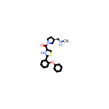 N#CNC[C@@H]1CCN(C(=O)C2CSC(c3ccccc3Oc3ccccc3)N2)C1